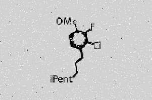 CCCC(C)CCCc1ccc(OC)c(F)c1Cl